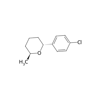 C[C@H]1CCC[C@H](c2ccc(Cl)cc2)O1